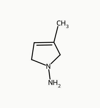 CC1=CCN(N)C1